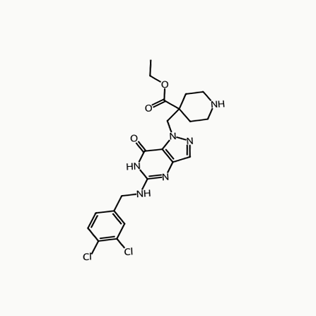 CCOC(=O)C1(Cn2ncc3nc(NCc4ccc(Cl)c(Cl)c4)[nH]c(=O)c32)CCNCC1